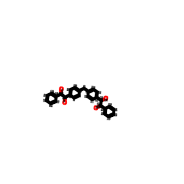 O=C(C(=O)c1ccc(Cc2ccc(C(=O)C(=O)c3ccccc3)cc2)cc1)c1ccccc1